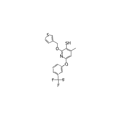 Cc1cc(Oc2cccc(C(F)(F)F)c2)nc(OCc2ccsc2)c1S